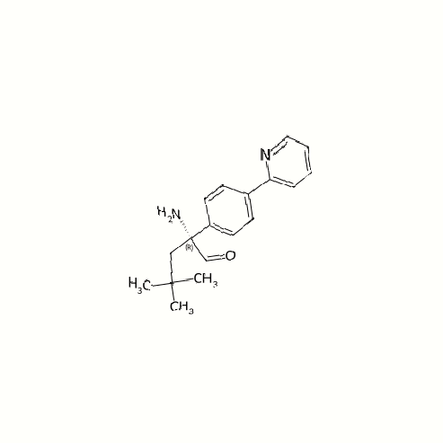 CC(C)(C)C[C@](N)(C=O)c1ccc(-c2ccccn2)cc1